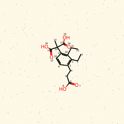 CCc1c(CCC(=O)O)ccc(C(C)(C(=O)O)C(=O)O)c1CC